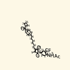 CC(=O)Nc1ccc(N2C(=O)C(C)=C(CCCCCCN3CCN(C(=O)C4CCC4)CC3)C2=O)cc1C(F)(F)F